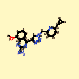 COc1cccc2c(-c3cn(Cc4cccc(C5CC5)n4)nn3)nc(N)nc12